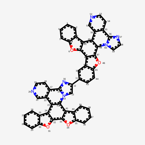 c1ccc2c(c1)oc1c3c4cc(-c5cn6c(n5)c5ccncc5c5c7c8ccccc8oc7c7oc8ccccc8c7c56)ccc4oc3c3c(c4cnccc4c4nccn43)c21